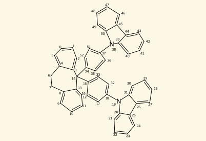 c1ccc2c(c1)CCc1ccccc1C2(c1ccc(-n2c3ccccc3c3ccccc32)cc1)c1ccc(-n2c3ccccc3c3ccccc32)cc1